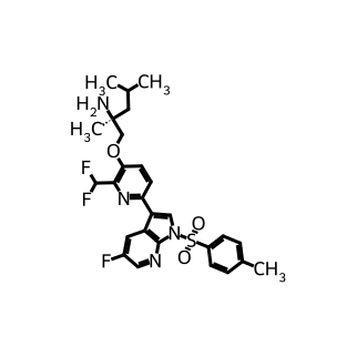 Cc1ccc(S(=O)(=O)n2cc(-c3ccc(OC[C@@](C)(N)CC(C)C)c(C(F)F)n3)c3cc(F)cnc32)cc1